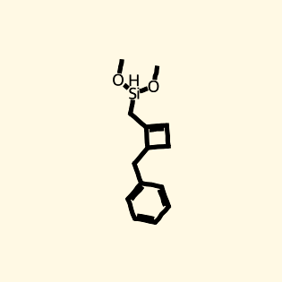 CO[SiH](CC1=CCC1Cc1ccccc1)OC